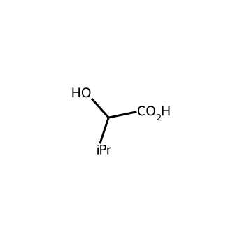 [CH2]C(C)C(O)C(=O)O